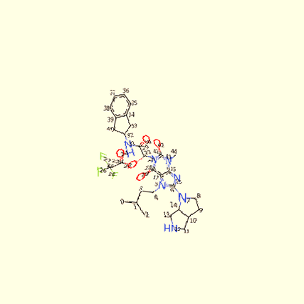 CC(C)CCn1c(N2CCC3CNCC32)nc2c1c(=O)n(C(OC(=O)C(F)(F)F)C(=O)NC1Cc3ccccc3C1)c(=O)n2C